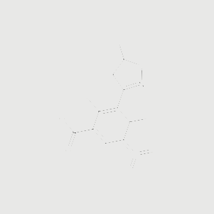 CC1CC(C2=C(Cl)C(C(=O)O)=CC(=S(=O)=O)C2C)=NO1